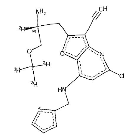 [2H]C([2H])([2H])OC[C@]([2H])(N)Cc1oc2c(NCc3cccs3)cc(Cl)nc2c1C#C